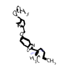 C=C/C=C\C(=C/C)c1nc2cc(OCc3ccc(OC)cn3)ccc2o1